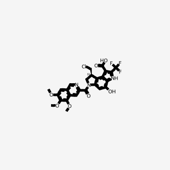 COc1cc2cnc(C(=O)N3C[C@@H](CCl)c4c3cc(O)c3[nH]c(C(F)(F)F)c(C(=O)O)c43)cc2c(OC)c1OC